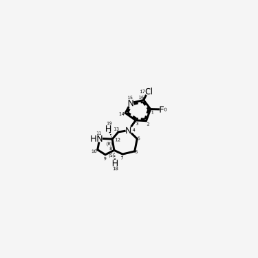 Fc1cc(N2CCC[C@H]3CCN[C@H]3C2)cnc1Cl